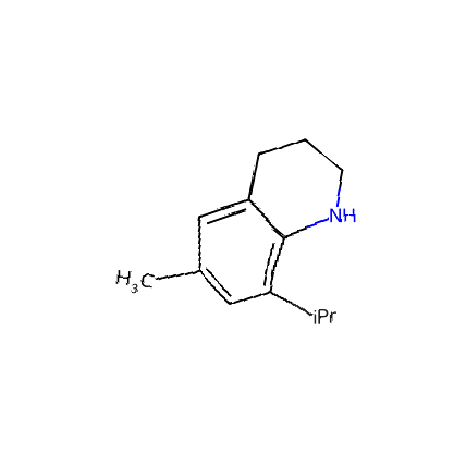 Cc1cc2c(c(C(C)C)c1)NCCC2